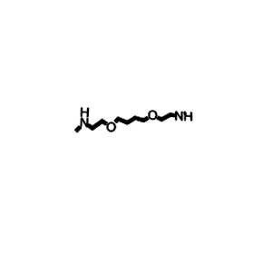 CNCCOCCCCOCCNC